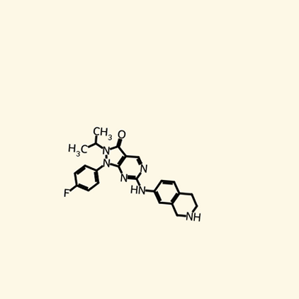 CC(C)n1c(=O)c2cnc(Nc3ccc4c(c3)CNCC4)nc2n1-c1ccc(F)cc1